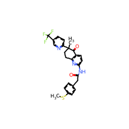 CSc1ccc(CC(=O)Nc2ccc3c(n2)CCC(C)(c2ccc(C(F)(F)F)cn2)C3=O)cc1